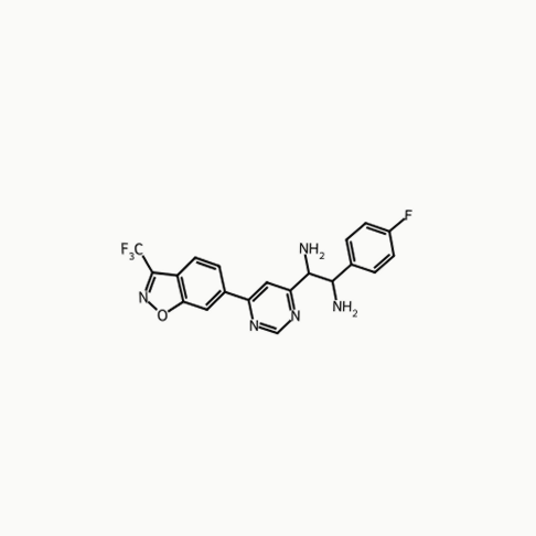 NC(c1ccc(F)cc1)C(N)c1cc(-c2ccc3c(C(F)(F)F)noc3c2)ncn1